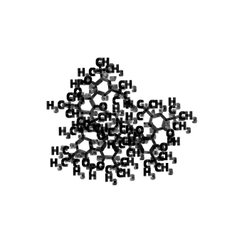 CC(C)(C)c1cc(C(C)(C)C)c2o[pH]oc3c(C(C)(C)C)cc(C(C)(C)C)c(OCCN(CCOc4c(C(C)(C)C)cc(C(C)(C)C)c5o[pH]oc6c(C(C)(C)C)cc(C(C)(C)C)cc6c45)CCOc4c(C(C)(C)C)cc(C(C)(C)C)c5o[pH]oc6c(C(C)(C)C)cc(C(C)(C)C)cc6c45)c3c2c1